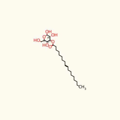 CCCCCCCCC=CCCCCCCCC(=O)O[C@H]1[C@H](O)[C@@H](CO)OC(O)[C@@H]1O